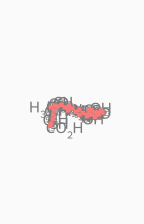 C[C@H](NC(=O)CCNC(=O)C(S)CC(=O)O)C(=O)N[C@@H](C)C(=O)Nc1ccc(CNc2ccc([C@@H]3O[C@@H]4CC5[C@@H]6CCC7=CC(=O)C=C[C@]7(C)C6[C@@H](O)C[C@]5(C)[C@]4(C(=O)CO)O3)cn2)cc1